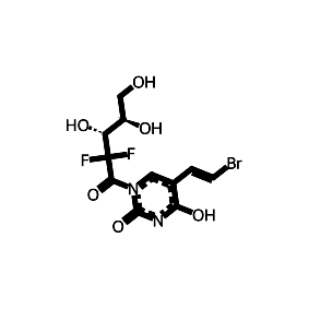 O=C(n1cc(C=CBr)c(O)nc1=O)C(F)(F)[C@H](O)[C@H](O)CO